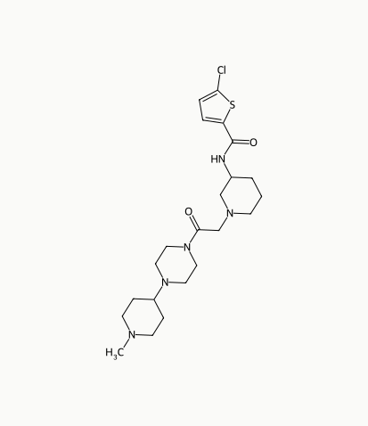 CN1CCC(N2CCN(C(=O)CN3CCCC(NC(=O)c4ccc(Cl)s4)C3)CC2)CC1